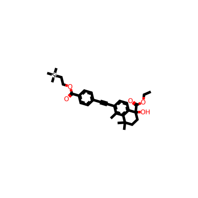 CCOC(=O)C1(O)CCC(C)(C)c2c1ccc(C#Cc1ccc(C(=O)OCC[Si](C)(C)C)cc1)c2C